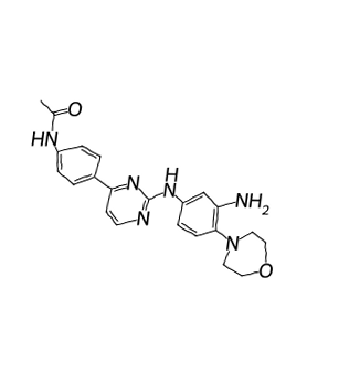 CC(=O)Nc1ccc(-c2ccnc(Nc3ccc(N4CCOCC4)c(N)c3)n2)cc1